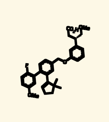 COC[C@@H](CC(=O)O)c1cccc(OCc2ccc(-c3cc(OC)ccc3F)c(C3=CCCC3(C)C)c2)c1